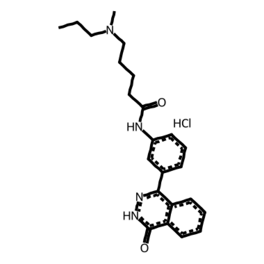 CCCN(C)CCCCC(=O)Nc1cccc(-c2n[nH]c(=O)c3ccccc23)c1.Cl